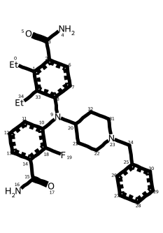 CCc1c(C(N)=O)ccc(N(c2cccc(C(N)=O)c2F)C2CCN(Cc3ccccc3)CC2)c1CC